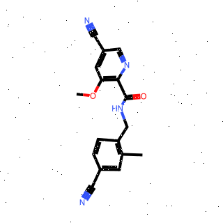 COc1cc(C#N)cnc1C(=O)NCc1ccc(C#N)cc1C